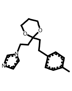 Cc1ccc(CCC2(CCn3ccnc3)OCCCO2)cc1